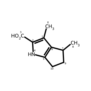 Cc1c(C(=O)O)[nH]c2c1C(C)CC2